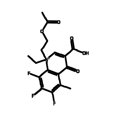 CC[N+]1(CCOC(C)=O)C=C(C(=O)O)C(=O)c2c(C)c(F)c(F)c(F)c21